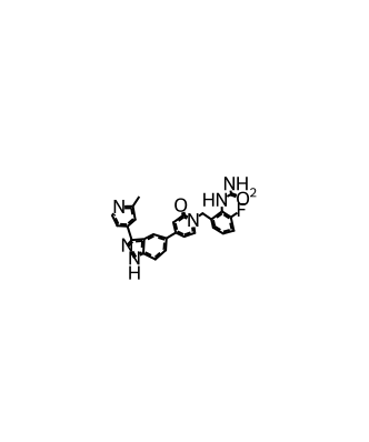 Cc1cc(-c2n[nH]c3ccc(-c4ccn(Cc5cccc(F)c5NC(N)=O)c(=O)c4)cc23)ccn1